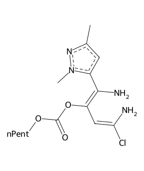 CCCCCOC(=O)OC(/C=C(\N)Cl)=C(/N)c1cc(C)nn1C